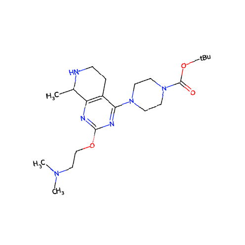 CC1NCCc2c1nc(OCCN(C)C)nc2N1CCN(C(=O)OC(C)(C)C)CC1